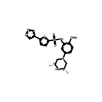 COc1ccc(N2C[C@@H](C)N[C@@H](C)C2)cc1NS(=O)(=O)c1ccc(-c2csnn2)s1